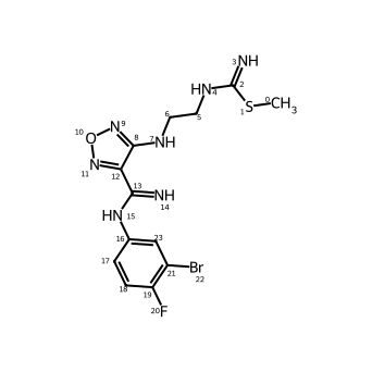 CSC(=N)NCCNc1nonc1C(=N)Nc1ccc(F)c(Br)c1